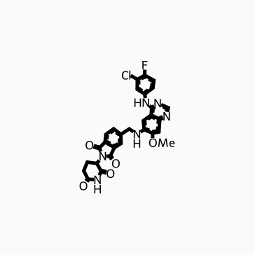 COc1cc2ncnc(Nc3ccc(F)c(Cl)c3)c2cc1NCc1ccc2c(c1)C(=O)N(C1CCC(=O)NC1=O)C2=O